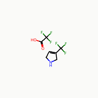 FC(F)(F)C1=CCNC1.O=C(O)C(F)(F)F